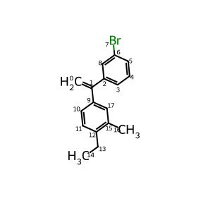 C=C(c1cccc(Br)c1)c1ccc(CC)c(C)c1